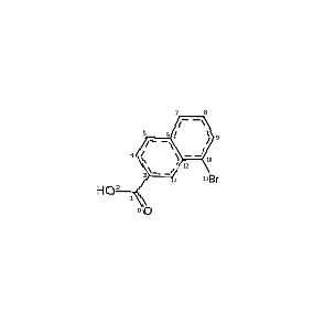 O=C(O)c1ccc2cccc(Br)c2c1